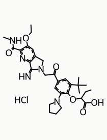 CCOc1cc2c(nc1C(=O)NC)C(=N)N(CC(=O)c1cc(N3CCCC3)c(OC(CC)C(=O)O)c(C(C)(C)C)c1)C2.Cl